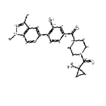 Cc1nn(C)c2ccc(-c3ccc(C(=O)N4CCN(C(=O)C5(O)CC5)CC4)cc3O)cc12